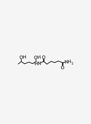 CC(O)CCCC(O)NC(=O)CCCCC(N)=O